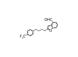 O=Cc1cccc2oc(CCCCc3ccc(C(F)(F)F)cc3)cc12